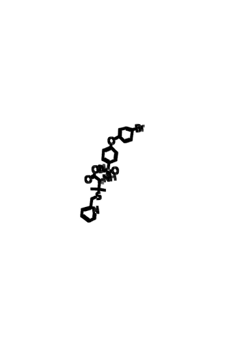 CC(C)(SCc1ccccn1)[C@@H](NS(=O)(=O)c1ccc(Oc2ccc(Br)cc2)cc1)C(=O)O